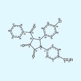 CCOC(=O)c1ccc(N2C(=O)C(=O)C(C(=O)c3ccccc3)C2c2ccc(Cl)cc2)cc1